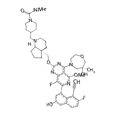 C#Cc1c(F)ccc2cc(O)cc(-c3nc(OC)c4c(N5CCOC[C@@](C)(O)C5)nc(OC[C@]56CCC[C@H]5N(CC5CCN(C(=O)NC)CC5)CCC6)nc4c3F)c12